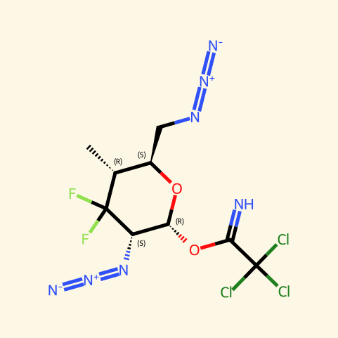 C[C@@H]1[C@@H](CN=[N+]=[N-])O[C@H](OC(=N)C(Cl)(Cl)Cl)[C@H](N=[N+]=[N-])C1(F)F